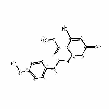 COC(=O)C1C(O)=CC(=O)CC1CCSc1ccc(OC)cc1